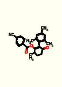 Cc1cc(C)c(C2=C(OC(=O)c3ccc(C#N)cc3)C(C)CCC2=O)c(C)c1